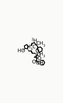 [2H][C@@H](C=C[C@H]1CC[C@H](O)[C@@H]1CC=CC[C@]1(OC2CCCCO2)C[C@@]1(OC1CCCCO1)C(=O)O)C(C)(C)CCCC